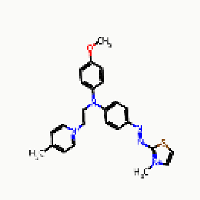 COc1ccc(N(CC[n+]2ccc(C)cc2)c2ccc(/N=N/c3scc[n+]3C)cc2)cc1